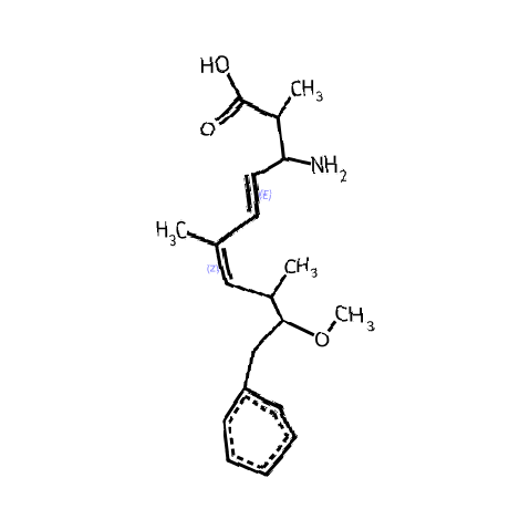 COC(Cc1ccccc1)C(C)/C=C(C)\C=C\C(N)C(C)C(=O)O